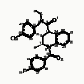 CCN(C(=O)[C@@H]1C[C@@H](C)N(C(=O)c2ccc(F)cc2)c2ccccc21)c1ccc(Cl)cc1